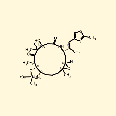 C/C(=C\c1csc(C)n1)[C@@H]1C[C@@H]2O[C@]2(C)CCC[C@H](C)[C@H](O[Si](C)(C)C(C)(C)C)[C@@H](C)C(=O)C(C)(C)[C@@H](O)CC(=O)N1